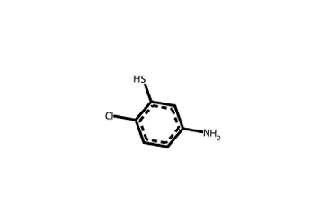 Nc1ccc(Cl)c(S)c1